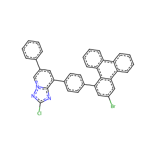 Clc1nc2c(-c3ccc(-c4cc(Br)cc5c6ccccc6c6ccccc6c45)cc3)cc(-c3ccccc3)cn2n1